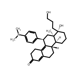 CN(C)c1ccc([C@H]2C[C@]3(C)[C@@H](CCC[C@]3(O)CCCO)[C@@H]3CCC4=CC(=O)CCC4=C32)cc1